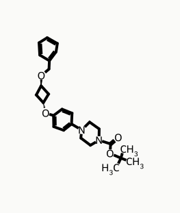 CC(C)(C)OC(=O)N1CCN(c2ccc(O[C@H]3C[C@H](OCc4ccccc4)C3)cc2)CC1